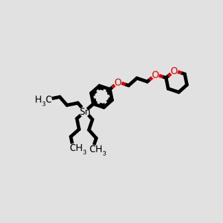 CCC[CH2][Sn]([CH2]CCC)([CH2]CCC)[c]1ccc(OCCCOC2CCCCO2)cc1